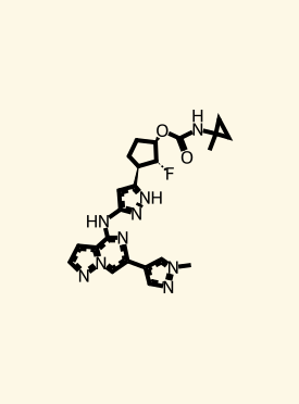 Cn1cc(-c2cn3nccc3c(Nc3cc([C@H]4CC[C@@H](OC(=O)NC5(C)CC5)[C@@H]4F)[nH]n3)n2)cn1